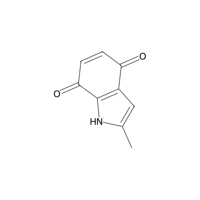 Cc1cc2c([nH]1)C(=O)C=CC2=O